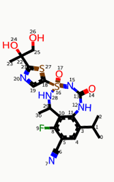 CC(C)c1cc(C#N)c(F)c2c1NC(=O)N=S(=O)(c1cnc(C(C)(O)CO)s1)NC2C